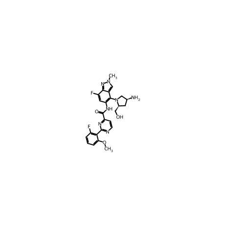 COc1cccc(F)c1-c1nccc(C(=O)Nc2cc(F)c3nn(C)cc3c2N2C[C@@H](N)C[C@H]2CO)n1